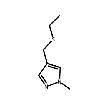 CCSCc1cnn(C)c1